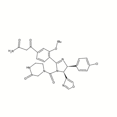 CC(C)(C)Oc1cc(C(=O)CC(N)=O)ccc1C1=N[C@@H](c2ccc(Cl)cc2)[C@@H](c2cocn2)N1C(=O)N1CCNC(=O)C1